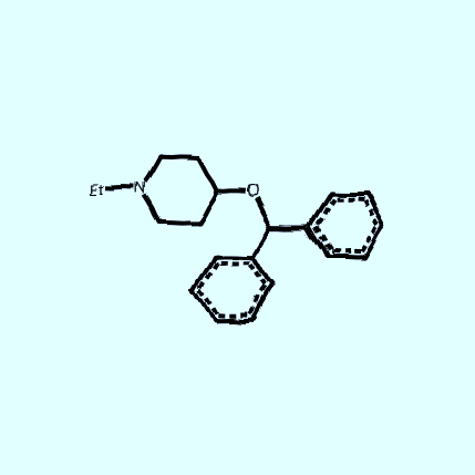 CCN1CCC(OC(c2ccccc2)c2ccccc2)CC1